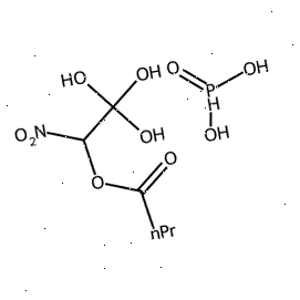 CCCC(=O)OC([N+](=O)[O-])C(O)(O)O.O=[PH](O)O